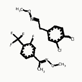 CON=C(C)c1ccc(C(F)(F)F)c(F)c1.CON=CCc1ccc(Cl)c(Cl)c1